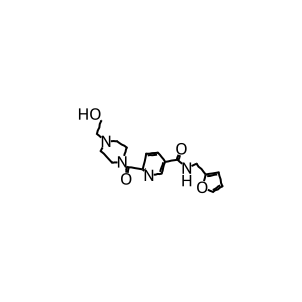 O=C(NCc1ccco1)c1ccc(C(=O)N2CCN(CCO)CC2)nc1